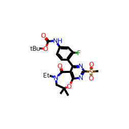 CCN1CC(C)(C)Oc2nc(S(C)(=O)=O)nc(-c3ccc(NC(=O)OC(C)(C)C)cc3F)c2C1=O